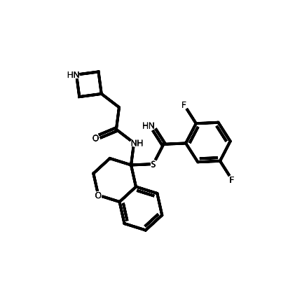 N=C(SC1(NC(=O)CC2CNC2)CCOc2ccccc21)c1cc(F)ccc1F